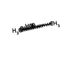 CCCCCCCCCCCCCCCCCCC(CCCCCCCCCC(O)CC)C(=O)O